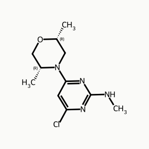 CNc1nc(Cl)cc(N2C[C@@H](C)OC[C@H]2C)n1